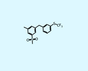 Cc1cc(Cc2cccc(SC(F)(F)F)c2)cc(S(C)(=O)=O)c1